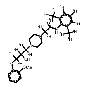 [2H]c1c([2H])c(C([2H])([2H])[2H])c(NC(=O)C([2H])([2H])N2CCN(C([2H])([2H])C([2H])(O)C([2H])([2H])Oc3ccccc3OC)CC2)c(C([2H])([2H])[2H])c1[2H]